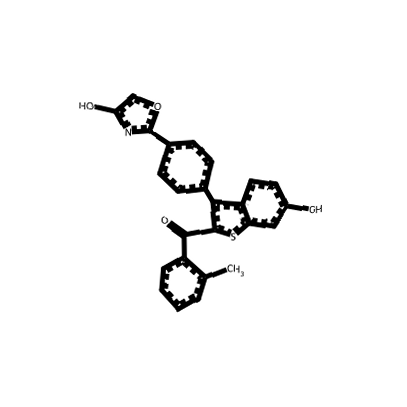 Cc1ccccc1C(=O)c1sc2cc(O)ccc2c1-c1ccc(-c2nc(O)co2)cc1